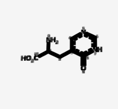 NC(Cc1cnc[nH]c1=O)C(=O)O